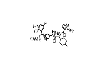 COCC(c1cc(F)c[nH]c1=O)n1cc(NC(=O)C(NC(=O)c2ccnn2C(C)C)C2CCC(C)CC2)cn1